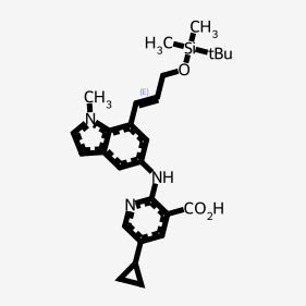 Cn1ccc2cc(Nc3ncc(C4CC4)cc3C(=O)O)cc(/C=C/CO[Si](C)(C)C(C)(C)C)c21